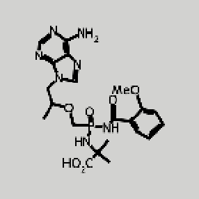 COc1ccccc1C(=O)NP(=O)(COC(C)Cn1cnc2c(N)ncnc21)NC(C)(C)C(=O)O